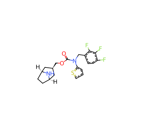 O=C(OC[C@H]1C[C@H]2CC[C@@H](C1)N2)N(Cc1ccc(F)c(F)c1F)c1cccs1